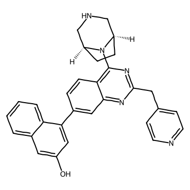 Oc1cc(-c2ccc3c(N4[C@@H]5CC[C@H]4CNC5)nc(Cc4ccncc4)nc3c2)c2ccccc2c1